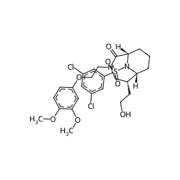 COc1ccc(OCCN2C[C@H](CCO)[C@H]3CCC[C@@H](C2=O)N3S(=O)(=O)c2cc(Cl)cc(Cl)c2)cc1OC